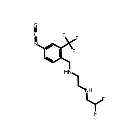 FC(F)CNCCNCc1ccc(N=C=S)cc1C(F)(F)F